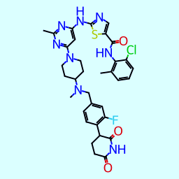 Cc1nc(Nc2ncc(C(=O)Nc3c(C)cccc3Cl)s2)cc(N2CCC(N(C)Cc3ccc(C4CCC(=O)NC4=O)c(F)c3)CC2)n1